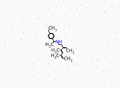 C=C(NCCC(=C/C)/C(C)=C/C(C)=C\C)c1ccc(CC)cc1